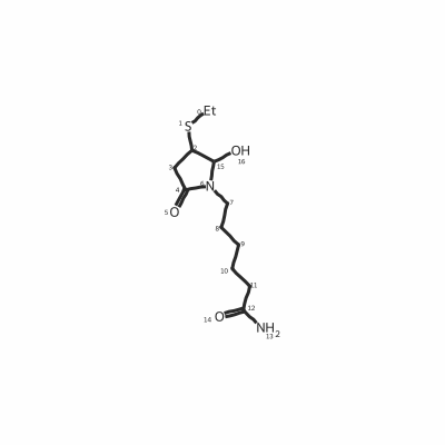 CCSC1CC(=O)N(CCCCCC(N)=O)C1O